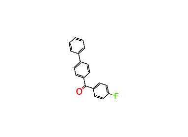 O=C(c1ccc(F)cc1)c1ccc(-c2ccccc2)cc1